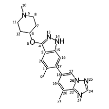 Cc1cc2c(OC3CCN(C)CC3)n[nH]c2cc1-c1cc(C)c2ncnn2c1